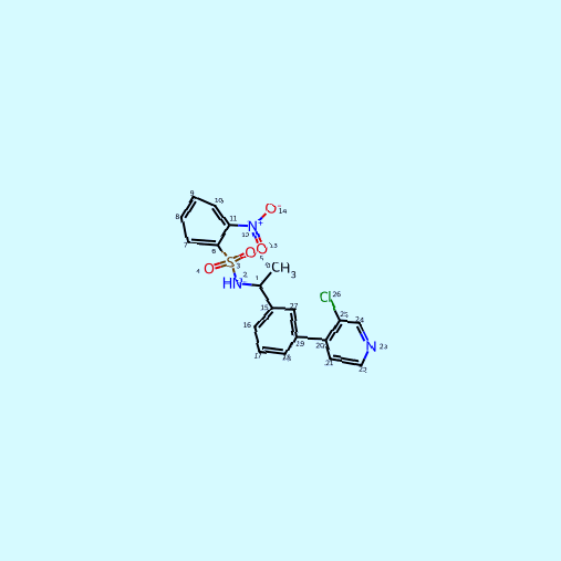 CC(NS(=O)(=O)c1ccccc1[N+](=O)[O-])c1cccc(-c2ccncc2Cl)c1